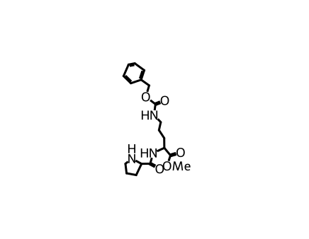 COC(=O)C(CCCNC(=O)OCc1ccccc1)NC(=O)C1CCCN1